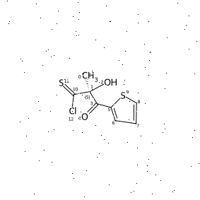 C[C@](O)(C(=O)c1cccs1)C(=S)Cl